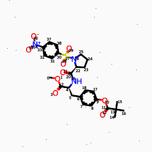 COC(=O)[C@H](Cc1ccc(OC(=O)C(C)(C)C)cc1)NC(=O)[C@@H]1CCCN1S(=O)(=O)c1ccc([N+](=O)[O-])cc1